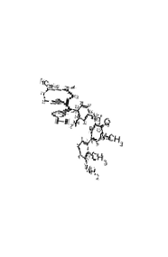 Cc1c(N)cccc1-c1cn(C)c(=O)c(Nc2ccc(C(=O)N3CCC(O)CC3)c(N)c2)n1